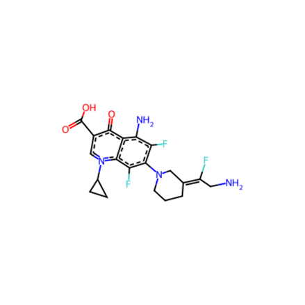 NCC(F)=C1CCCN(c2c(F)c(N)c3c(=O)c(C(=O)O)cn(C4CC4)c3c2F)C1